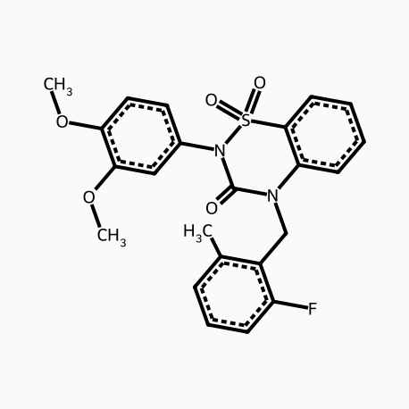 COc1ccc(N2C(=O)N(Cc3c(C)cccc3F)c3ccccc3S2(=O)=O)cc1OC